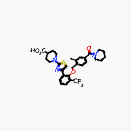 Cc1cc(C(=O)N2CCCCC2)ccc1COc1c(-c2csc(N3CCC(C(=O)O)CC3)n2)cccc1C(F)(F)F